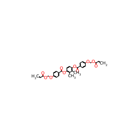 C=CC(=O)OCOc1ccc(C(=O)Oc2ccc(OC(=O)c3ccc(OCOC(=O)C=C)cc3)c(C)c2C)cc1